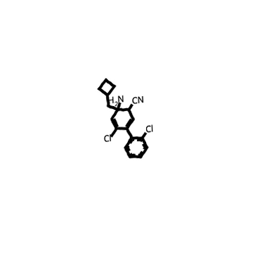 N#CC1C=C(c2ccccc2Cl)C(Cl)=CC1(N)CC1CCC1